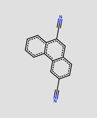 N#Cc1ccc2cc(C#N)c3ccccc3c2c1